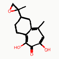 Cc1cc(O)c(=O)c(O)c2c1CC(C1(C)CO1)CC2